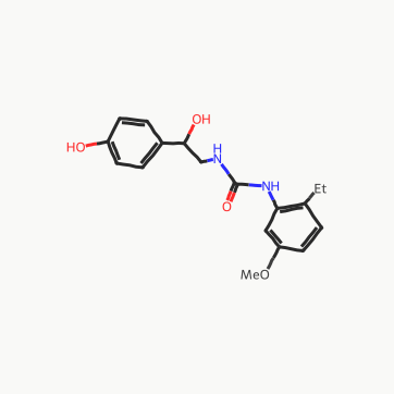 CCc1ccc(OC)cc1NC(=O)NCC(O)c1ccc(O)cc1